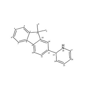 CC1(C)c2ccccc2-c2ccc(C3C=CC=CN3)cc21